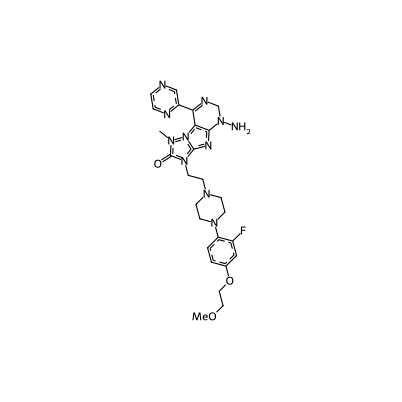 COCCOc1ccc(N2CCN(CCn3c(=O)n(C)n4c5c(nc34)N(N)CN=C5c3cnccn3)CC2)c(F)c1